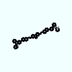 CC1(C)c2cc(/C=C/c3ccc4cc(-c5ccc6c(c5)c5ccccc5n6-c5ccccn5)ccc4c3)ccc2-c2ccc(/C=C/c3ccc4cc(-c5ccc6c(c5)c5ccccc5n6-c5ccccn5)ccc4c3)cc21